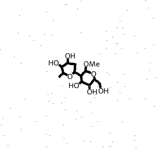 COC1OC(CO)C(O)C(O)C1C1CC(O)C(O)C(C)O1